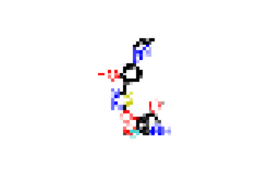 COC1CC2(OC)CNC1C(F)C(Oc1nnc(-c3ccc(-n4ccc(C)n4)cc3O)s1)C2